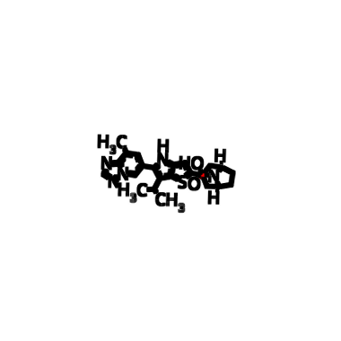 Cc1cc(-c2[nH]c3cc(C4C[C@H]5CC[C@@H](C4)N5C(=O)O)sc3c2C(C)C)cn2ncnc12